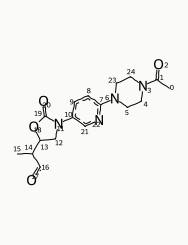 CC(=O)N1CCN(c2ccc(N3CC(C(C)[C]=O)OC3=O)cn2)CC1